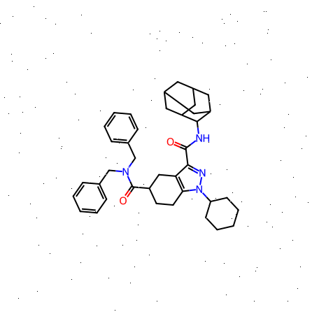 O=C(NC1C2CC3CC(C2)CC1C3)c1nn(C2CCCCC2)c2c1CC(C(=O)N(Cc1ccccc1)Cc1ccccc1)CC2